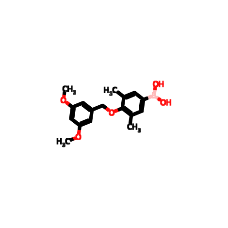 COc1cc(COc2c(C)cc(B(O)O)cc2C)cc(OC)c1